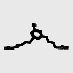 CCCCCCCCCCCCCCc1cc(CC)cc(CCCCCCCCCCCCCC)c1